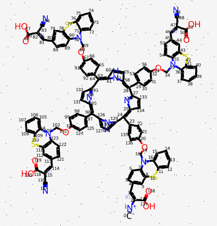 [C-]#[N+]/C(=C/c1ccc2c(c1)Sc1ccccc1N2COc1ccc(-c2c3nc(c(-c4ccc(OCN5c6ccccc6Sc6cc(/C=C(/C#N)C(=O)O)ccc65)cc4)c4ccc([nH]4)c(-c4ccc(OCN5c6ccccc6Sc6cc(/C=C(\C#N)C(=O)O)ccc65)cc4)c4nc(c(-c5ccc(OCN6c7ccccc7Sc7cc(/C=C(/C#N)C(=O)O)ccc76)cc5)c5ccc2[nH]5)C=C4)C=C3)cc1)C(=O)O